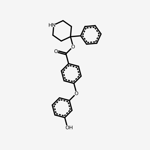 O=C(OC1(c2ccccc2)CCNCC1)c1ccc(Oc2cccc(O)c2)cc1